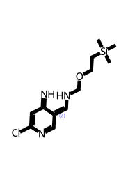 C[Si](C)(C)CCOCN/C=C1/C=NC(Cl)=CC1=N